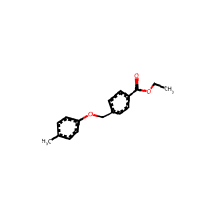 CCOC(=O)c1ccc(COc2ccc(C)cc2)cc1